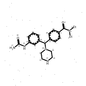 CCN(CC)C(=O)c1ccc(C(c2cccc(NC(N)=O)c2)N2CCNCC2)cc1